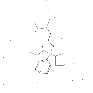 CCC(C)CCO[Si](c1ccccc1)(C(C)CC)C(C)CC